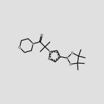 CC(C)(C(=O)N1CCOCC1)n1cc(B2OC(C)(C)C(C)(C)O2)cn1